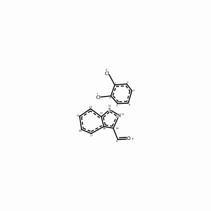 Clc1ccccc1Cl.O=Cc1nsc2ccccc12